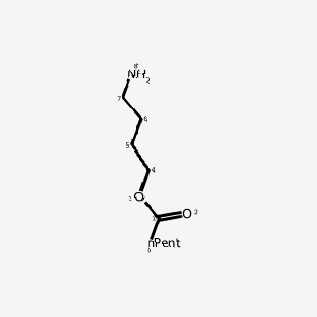 CCCCCC(=O)OCCCCN